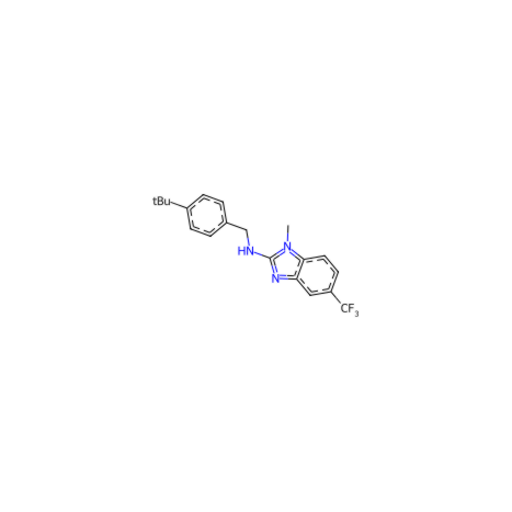 Cn1c(NCc2ccc(C(C)(C)C)cc2)nc2cc(C(F)(F)F)ccc21